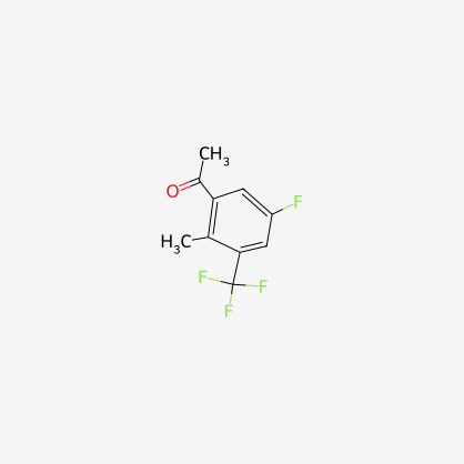 CC(=O)c1cc(F)cc(C(F)(F)F)c1C